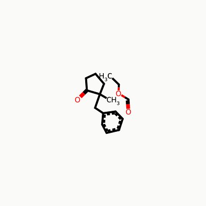 CC1(Cc2ccccc2)CCCC1=O.CCOC=O